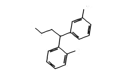 COc1cccc(C(CCO)c2ccccc2C)c1